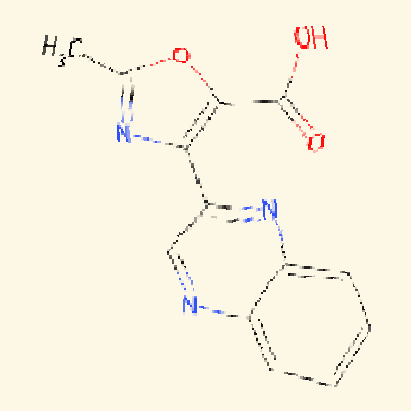 Cc1nc(-c2cnc3ccccc3n2)c(C(=O)O)o1